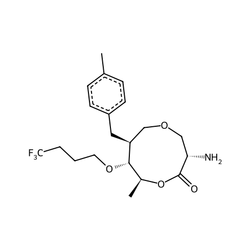 Cc1ccc(C[C@H]2COC[C@H](N)C(=O)O[C@@H](C)[C@@H]2OCCCC(F)(F)F)cc1